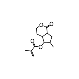 C=C(C)C(=O)OC1C(C)CC2C(=O)OCCC21